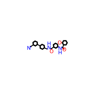 N#Cc1cccc(-c2ccc(CNC(=O)c3ccc4c(c3)NC(=O)c3ccccc3O4)cc2)c1